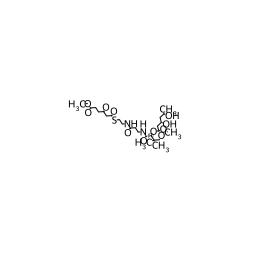 COC(=O)CCC(=O)CC(=O)SCCNC(=O)CCNC(=O)[C@@H]1OC(CC(O)CC(C)O)(OC)OCC1(C)C